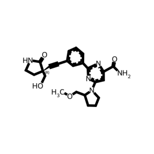 COCC1CCCN1c1cc(C(N)=O)nc(-c2cccc(C#C[C@@]3(CO)CCNC3=O)c2)n1